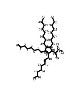 CCCCCCCCC1=C(CCCCCCCC)C(C(C)N(C)C)C(CCCCCCCC)=C1CCCCCCCC